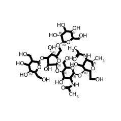 CC(=O)NC1C(O)[C@H](O[C@@H]2OC(CO[C@H]3OC(CO)[C@@H](O)C(O)[C@H]3O)[C@@H](O)C(O[C@H]3OC(CO)[C@@H](O)C(O)C3CO)C2O)C(CO)O[C@H]1O[C@@H]1C(CO)O[C@@H](C)C(NC(C)=O)C1O